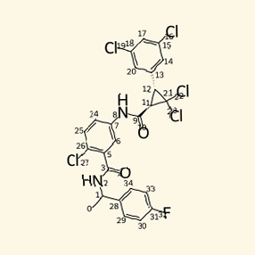 CC(NC(=O)c1cc(NC(=O)[C@H]2[C@H](c3cc(Cl)cc(Cl)c3)C2(Cl)Cl)ccc1Cl)c1ccc(F)cc1